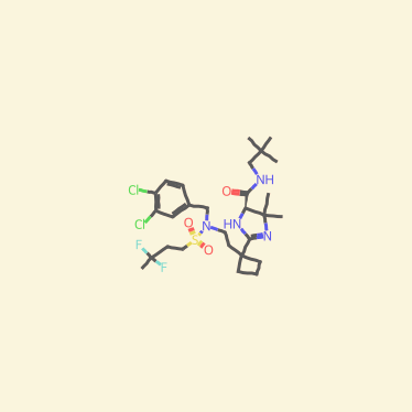 CC(C)(C)CNC(=O)[C@@H]1NC(C2(CCN(Cc3ccc(Cl)c(Cl)c3)S(=O)(=O)CCC(C)(F)F)CCC2)=NC1(C)C